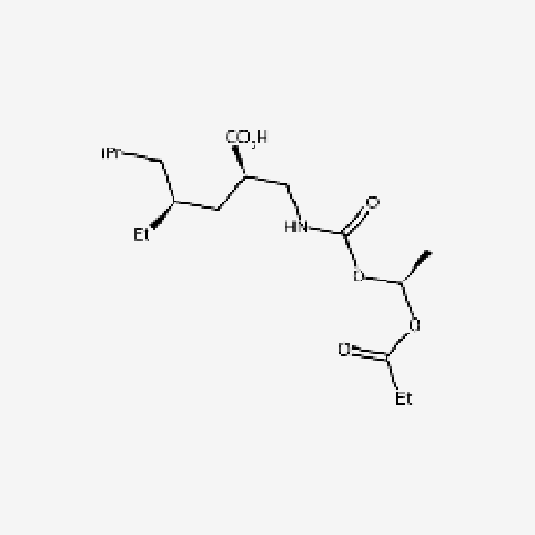 CCC(=O)O[C@H](C)OC(=O)NC[C@@H](C[C@@H](CC)CC(C)C)C(=O)O